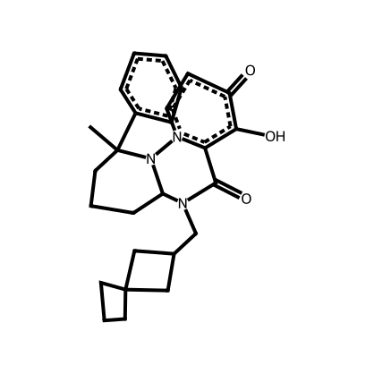 CC1(c2ccccc2)CCCC2N(CC3CC4(CCC4)C3)C(=O)c3c(O)c(=O)ccn3N21